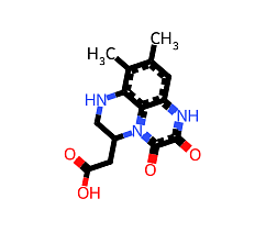 Cc1cc2[nH]c(=O)c(=O)n3c2c(c1C)NCC3CC(=O)O